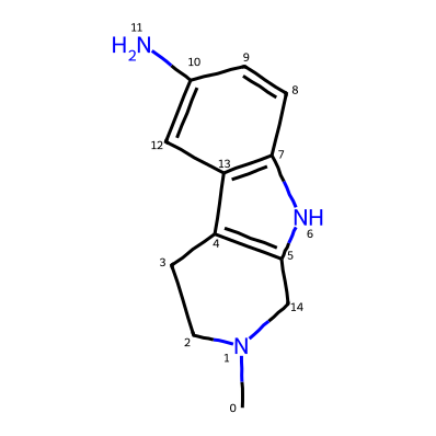 CN1CCc2c([nH]c3ccc(N)cc23)C1